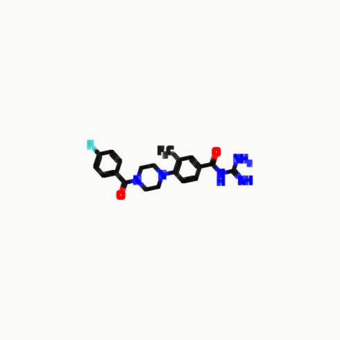 N=C(N)NC(=O)c1ccc(N2CCN(C(=O)c3ccc(F)cc3)CC2)c(C(F)(F)F)c1